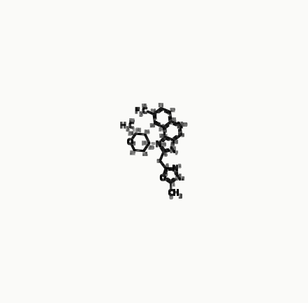 Cc1nnc(Cc2nc3cnc4ccc(C(F)(F)F)cc4c3n2[C@@H]2CCO[C@H](C)C2)o1